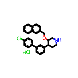 Cl.Clc1ccc(-c2cccc(C3CCNCC3OCc3ccc4ccccc4c3)c2)cc1